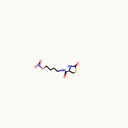 O=C1N[C@H](C(=O)NCCCCO[N+](=O)[O-])CS1